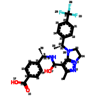 Cc1nn2c(c1C(O)N[C@@H](C)c1ccc(C(=O)O)cc1)N([C@H](C)c1ccc(C(F)(F)F)cc1)CC2